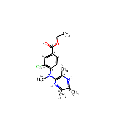 CCOC(=O)c1ccc(N(C)c2nc(C)c(C)nc2C)c(Cl)c1